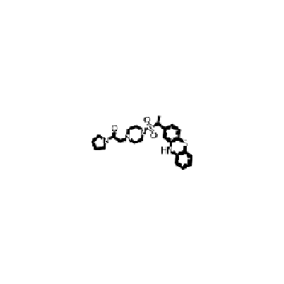 CC(c1ccc2c(c1)Nc1ccccc1S2)S(=O)(=O)N1CCN(CC(=O)N2CCCC2)CC1